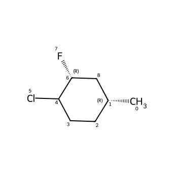 C[C@@H]1CCC(Cl)[C@H](F)C1